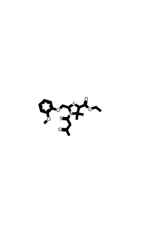 CCOC(=O)C1SC(COc2ccccc2OC)N(C(=S)CC(C)=O)C1(C)C